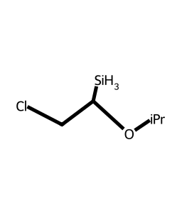 CC(C)OC([SiH3])CCl